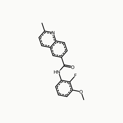 COc1cccc(NC(=O)c2ccc3nc(C)ccc3c2)c1F